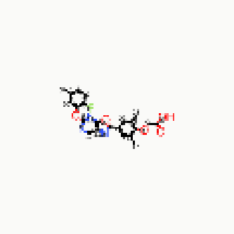 Cc1ccc(F)c(Oc2ncc3nc(-c4cc(C)c(OCC(=O)O)c(C)c4)oc3n2)c1